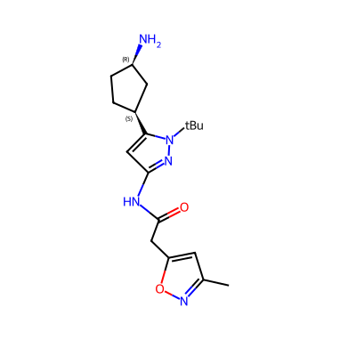 Cc1cc(CC(=O)Nc2cc([C@H]3CC[C@@H](N)C3)n(C(C)(C)C)n2)on1